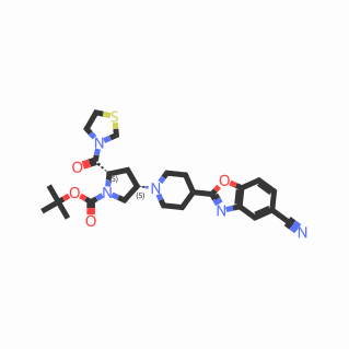 CC(C)(C)OC(=O)N1C[C@@H](N2CCC(c3nc4cc(C#N)ccc4o3)CC2)C[C@H]1C(=O)N1CCSC1